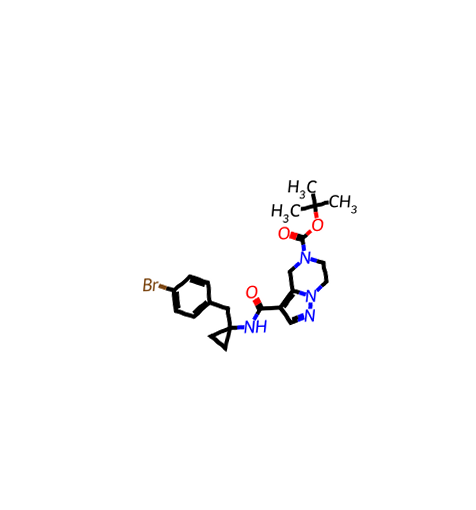 CC(C)(C)OC(=O)N1CCn2ncc(C(=O)NC3(Cc4ccc(Br)cc4)CC3)c2C1